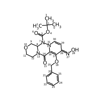 CC(C)(C)OC(=O)N1C2COCCN2C(=O)c2c(OCc3ccccc3)/c(=N/O)ccn21